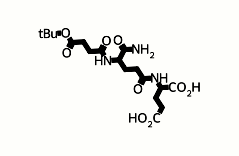 CC(C)(C)OC(=O)CCC(=O)NC(CCC(=O)NC(CCC(=O)O)C(=O)O)C(N)=O